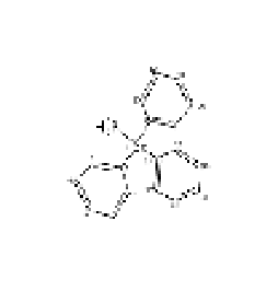 P[Se](c1ccccc1)(c1ccccc1)c1ccccc1